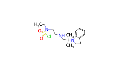 CCN(CCNCC(C)(C)N1CCc2ccccc21)S(=O)(=O)Cl